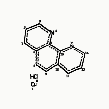 Cl.[Cu].c1cnc2c(c1)ccc1cccnc12